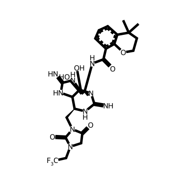 CC1(C)CCOc2c(C(=O)NC3CN4C(=N)N[C@@H](CN5C(=O)CN(CC(F)(F)F)C5=O)C5NC(=N)NC54C3(O)O)cccc21